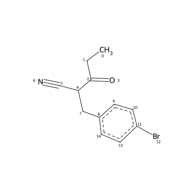 CCC(=O)C(C#N)Cc1ccc(Br)cc1